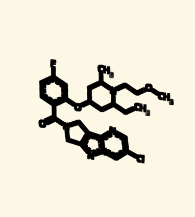 CCC1CC(Oc2cc(F)ccc2C(=O)N2Cc3nn4cc(Cl)cnc4c3C2)CC(C)N1CCOC